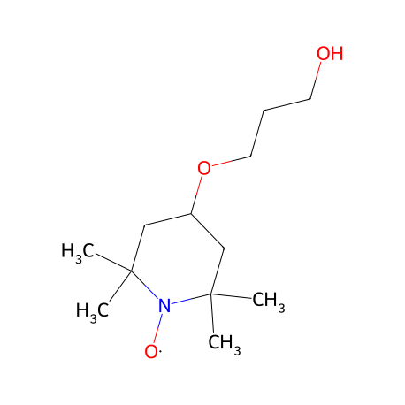 CC1(C)CC(OCCCO)CC(C)(C)N1[O]